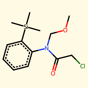 COCN(C(=O)CCl)c1ccccc1[Si](C)(C)C